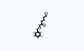 O=C(CCCCCl)COCc1ccccc1